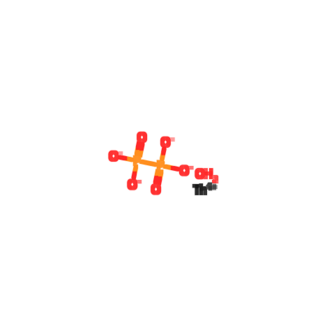 O.O=P([O-])([O-])P(=O)([O-])[O-].[Th+4]